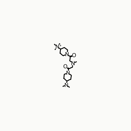 CN(CC(=O)N1CCC(N(C)C)CC1)CC(=O)N1CCC([N+](C)(C)C)CC1